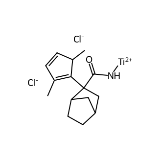 CC1=C(C2(C(=O)[NH][Ti+2])CC3CCC2C3)C(C)C=C1.[Cl-].[Cl-]